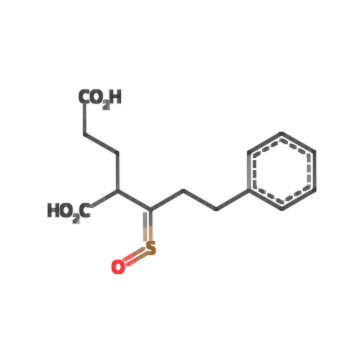 O=S=C(CCc1ccccc1)C(CCC(=O)O)C(=O)O